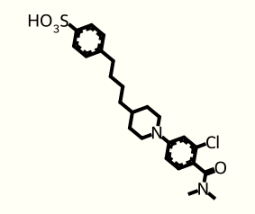 CN(C)C(=O)c1ccc(N2CCC(CCCCc3ccc(S(=O)(=O)O)cc3)CC2)cc1Cl